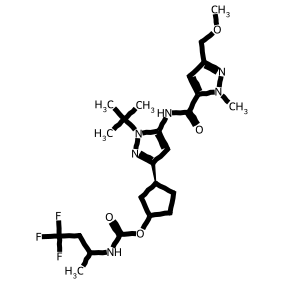 COCc1cc(C(=O)Nc2cc([C@H]3CCC(OC(=O)NC(C)CC(F)(F)F)C3)nn2C(C)(C)C)n(C)n1